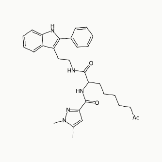 CC(=O)CCCCCC(NC(=O)c1cc(C)n(C)n1)C(=O)NCCc1c(-c2ccccc2)[nH]c2ccccc12